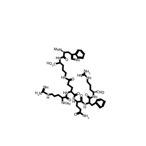 CN[C@@H](Cc1c[nH]c2ccccc12)C(=O)NC(CCCNC(=O)CCC(NC(=O)C(CCCNC(=N)N)NC(C)=O)C(=O)NC(CCC(N)=O)C(=O)NC(Cc1ccccc1)C(=O)N[C@H](C=O)CCCNC(=N)N)C(=O)O